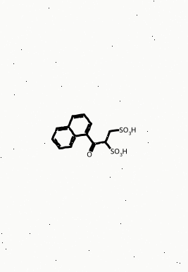 O=C(c1cccc2ccccc12)C(CS(=O)(=O)O)S(=O)(=O)O